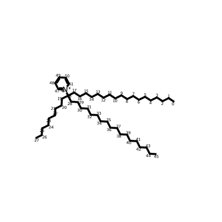 CCCCCCCCCCCCCCCCCCC(CCCCCCCCC)(CCCCCCCCCCCCCCCCCC)[n+]1ccccc1